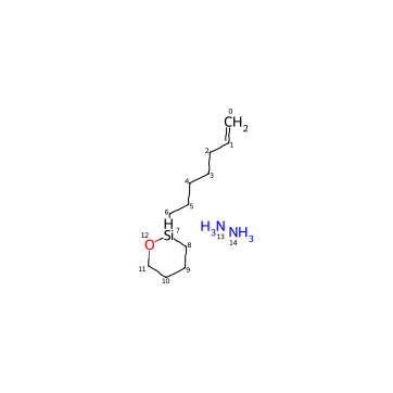 C=CCCCCC[SiH]1CCCCO1.N.N